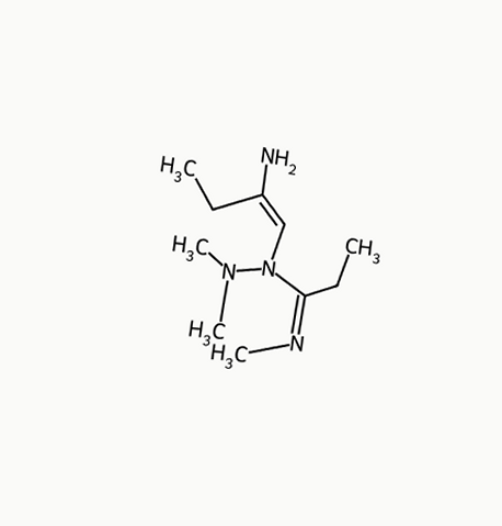 CC/C(=N/C)N(/C=C(/N)CC)N(C)C